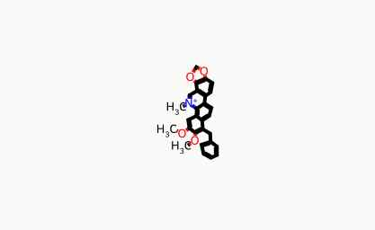 COc1cc2c(ccc3c4ccc5c(c4c[n+](C)c23)OCO5)c(Cc2ccccc2)c1OC